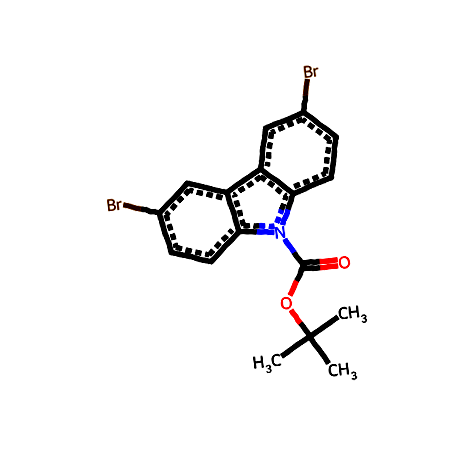 CC(C)(C)OC(=O)n1c2ccc(Br)cc2c2cc(Br)ccc21